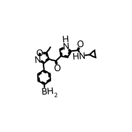 Bc1ccc(-c2noc(C)c2C(=O)c2c[nH]c(C(=O)NC3CC3)c2)cc1